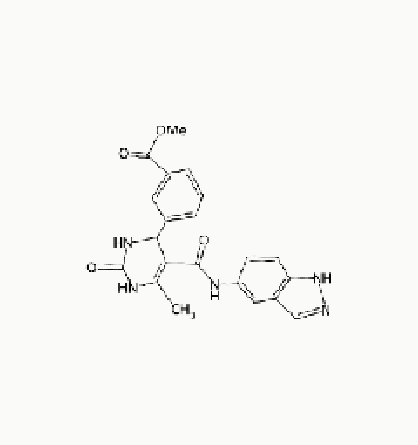 COC(=O)c1cccc(C2NC(=O)NC(C)=C2C(=O)Nc2ccc3[nH]ncc3c2)c1